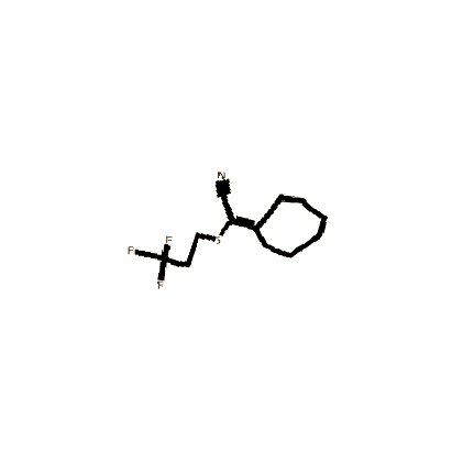 N#CC(SCCC(F)(F)F)=C1CCCCCC1